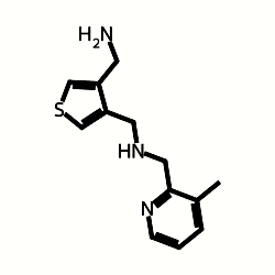 Cc1cccnc1CNCc1cscc1CN